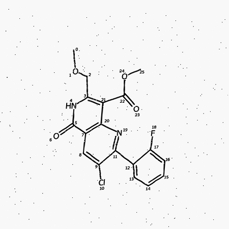 COCc1[nH]c(=O)c2cc(Cl)c(-c3ccccc3F)nc2c1C(=O)OC